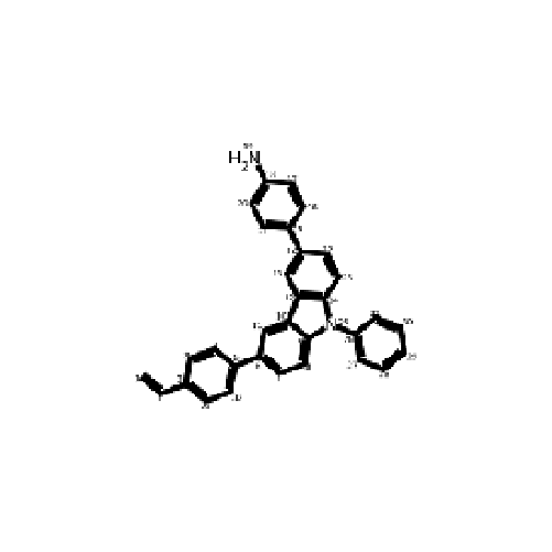 C=Cc1ccc(-c2ccc3c(c2)c2cc(-c4ccc(N)cc4)ccc2n3-c2ccccc2)cc1